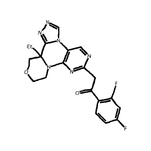 CCC12COCCN1c1nc(CC(=O)c3ccc(F)cc3F)ncc1-n1cnnc12